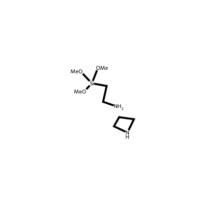 C1CNC1.CO[Si](CCN)(OC)OC